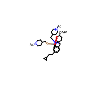 COC1CCC2(CC1)Cc1ccc(CCC3CC3)cc1C21NC(SCC2CCN(C(C)=O)CC2)N(CC2CCN(C(C)=O)CC2)C1=O